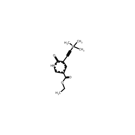 CCOC(=O)c1c[nH]c(=O)c(C#C[Si](C)(C)C)c1